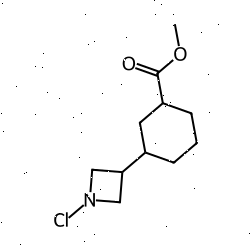 COC(=O)C1CCCC(C2CN(Cl)C2)C1